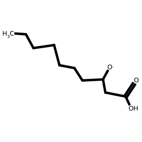 CCCCCCCC([O])CC(=O)O